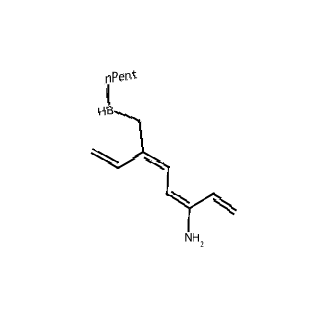 C=C/C(=C\C=C(\N)C=C)CBCCCCC